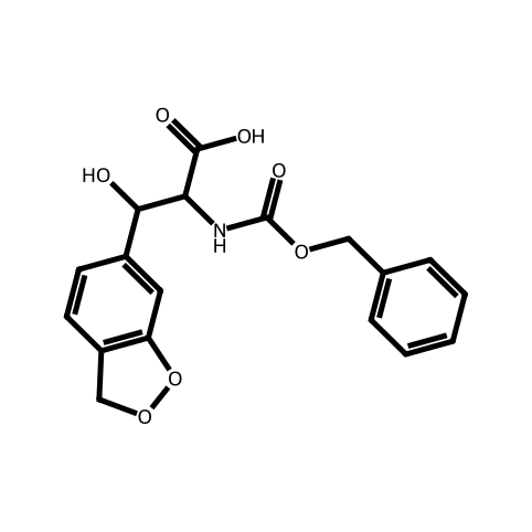 O=C(NC(C(=O)O)C(O)c1ccc2c(c1)OOC2)OCc1ccccc1